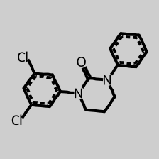 O=C1N(c2ccccc2)CCCN1c1cc(Cl)cc(Cl)c1